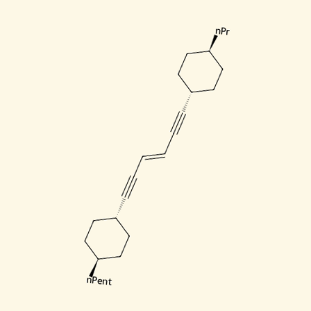 CCCCC[C@H]1CC[C@H](C#C/C=C/C#C[C@H]2CC[C@H](CCC)CC2)CC1